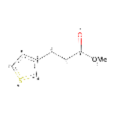 COC(=O)CCc1ccsc1